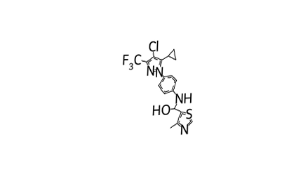 Cc1ncsc1C(O)Nc1ccc(-n2nc(C(F)(F)F)c(Cl)c2C2CC2)cc1